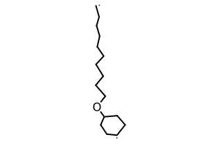 [CH2]CCCCCCCCCOC1CC[CH]CC1